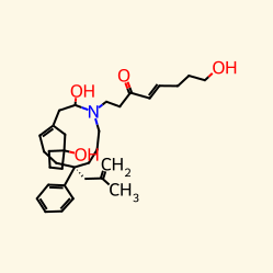 C=C(C)C[C@]1(c2ccccc2)CC/C=C(\CC2(O)CCC2)CC(O)N(CCC(=O)/C=C/CCCO)CCC1